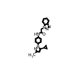 Cc1cc(C2CC2)n(-c2ccc(NC(=O)Cn3nnc4ccccc43)cc2)n1